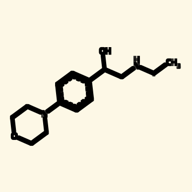 C[CH]NCC(O)c1ccc(N2CCOCC2)cc1